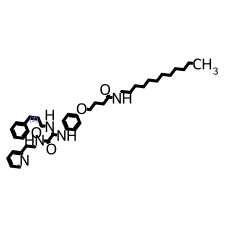 CCCCCCCCCCCCNC(=O)CCCOc1ccc(NC(NC(=O)/C=C\c2ccccc2)C(=O)NCCc2ccccn2)cc1